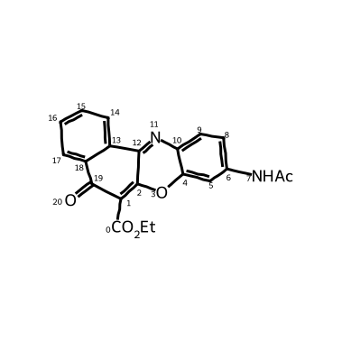 CCOC(=O)c1c2oc3cc(NC(C)=O)ccc3nc-2c2ccccc2c1=O